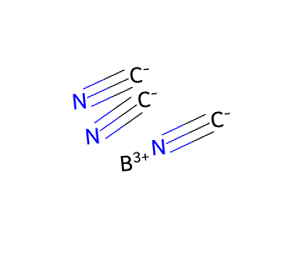 [B+3].[C-]#N.[C-]#N.[C-]#N